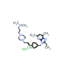 CCc1nc2c(C)cc(C)nc2n1Cc1ccc(C=CCN2CCN(CCCN(C)C)CC2)cc1.Cl.Cl